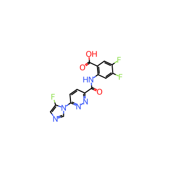 O=C(Nc1cc(F)c(F)cc1C(=O)O)c1ccc(-n2cncc2F)nn1